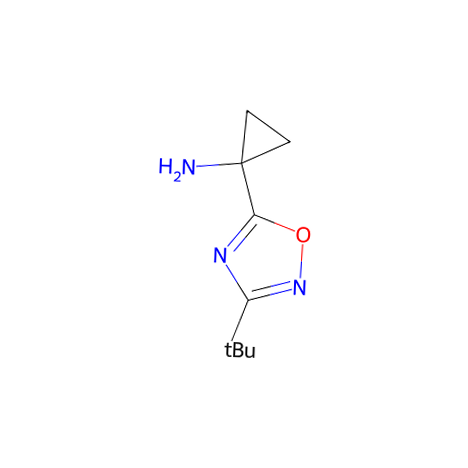 CC(C)(C)c1noc(C2(N)CC2)n1